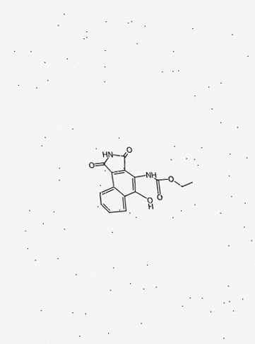 CCOC(=O)Nc1c2c(c3ccccc3c1O)C(=O)NC2=O